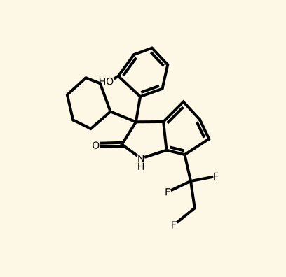 O=C1Nc2c(C(F)(F)CF)cccc2C1(c1ccccc1O)C1CCCCC1